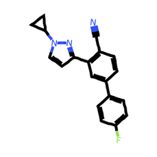 N#Cc1ccc(-c2ccc(F)cc2)cc1-c1ccn(C2CC2)n1